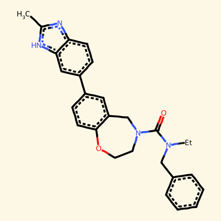 CCN(Cc1ccccc1)C(=O)N1CCOc2ccc(-c3ccc4nc(C)[nH]c4c3)cc2C1